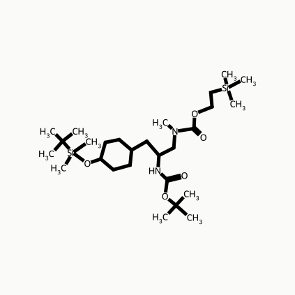 CN(CC(CC1CCC(O[Si](C)(C)C(C)(C)C)CC1)NC(=O)OC(C)(C)C)C(=O)OCC[Si](C)(C)C